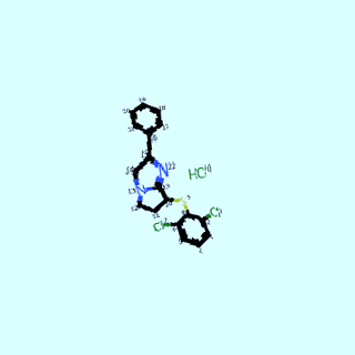 Cl.Clc1cccc(Cl)c1SC1CCN2CC(c3ccccc3)N=C12